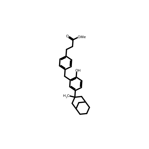 COC(=O)CCc1ccc(Cc2cc(C3(C)CC4CCCC(C4)C3)ccc2O)cc1